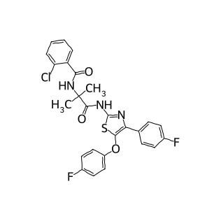 CC(C)(NC(=O)c1ccccc1Cl)C(=O)Nc1nc(-c2ccc(F)cc2)c(Oc2ccc(F)cc2)s1